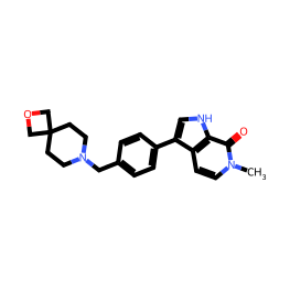 Cn1ccc2c(-c3ccc(CN4CCC5(CC4)COC5)cc3)c[nH]c2c1=O